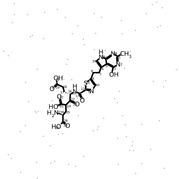 Cc1nc(O)c2c(CCc3cnc(C(=O)N[C@@H](CCC(=O)O)C(=O)C(C[C@H](N)C(=O)O)C(=O)O)s3)c[nH]c2n1